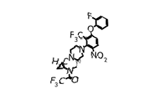 CN1CCN(c2c([N+](=O)[O-])ccc(Oc3ccccc3F)c2C(F)(F)F)C[C@@H]1CN(C(=O)C(F)(F)F)C1CC1